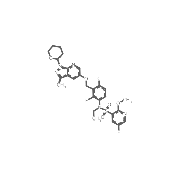 CCN(c1ccc(Cl)c(COc2cnc3c(c2)c(C)nn3C2CCCCO2)c1F)S(=O)(=O)c1cc(F)cnc1OC